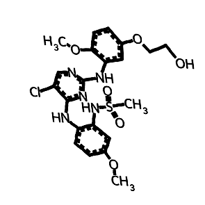 COc1ccc(Nc2nc(Nc3cc(OCCO)ccc3OC)ncc2Cl)c(NS(C)(=O)=O)c1